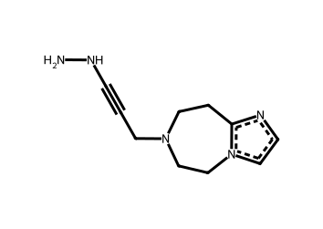 NNC#CCN1CCc2nccn2CC1